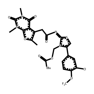 Cc1oc2c(c1CC(=O)N=c1scc(-c3ccc(OC(F)(F)F)c(Cl)c3)n1COC(=O)C(C)(C)C)c(=O)n(C)c(=O)n2C